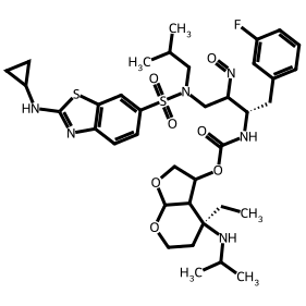 CC[C@]1(NC(C)C)CCOC2OCC(OC(=O)N[C@@H](Cc3cccc(F)c3)C(CN(CC(C)C)S(=O)(=O)c3ccc4nc(NC5CC5)sc4c3)N=O)C21